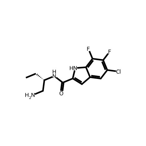 CC[C@@H](CN)NC(=O)c1cc2cc(Cl)c(F)c(F)c2[nH]1